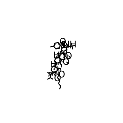 CCCCOC(=O)[C@@H]1[C@@](C)([C@H](C)C(C)C)CC[C@]2(C)[C@H]3CC[C@H]4C(C)(C)[C@@H](OC[C@H](NS(=O)(=O)c5ccc(C)cc5)C(C)(C)C)[C@H](OC)C[C@]4(COC)C3=CC[C@@]12C